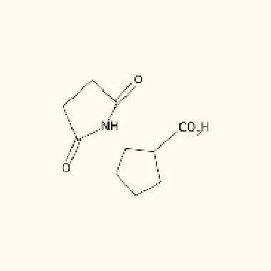 O=C(O)C1CCCC1.O=C1CCC(=O)N1